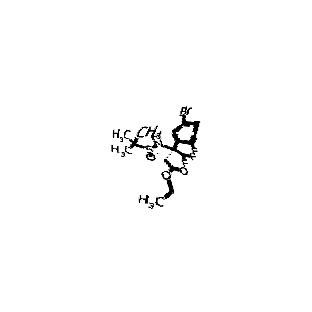 CCOC(=O)C[C@](N[S+]([O-])C(C)(C)C)(c1cc(Br)ccc1F)C(F)F